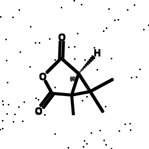 CC1(C)[C@@H]2C(=O)OC(=O)C21C